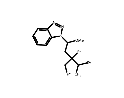 CCC(CC(C)C)(CC(OC)n1nnc2ccccc21)C(C)C(C)C